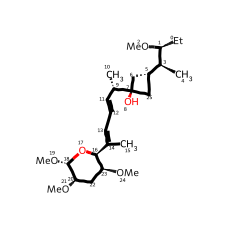 CC[C@H](OC)[C@@H](C)[C@H]1C[C@@](O)([C@@H](C)/C=C/C=C(\C)[C@@H]2O[C@@H](OC)[C@H](OC)C[C@@H]2OC)C1